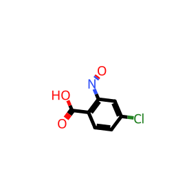 O=Nc1cc(Cl)ccc1C(=O)O